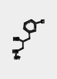 CCCNCC(O)Cc1cccc(Cl)c1